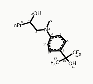 CCCC(O)CN(C)c1ccc(C(O)(C(F)(F)F)C(F)(F)F)cc1